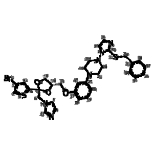 Brc1csc([C@]2(Cn3ccnc3)OC[C@H](COc3cccc(N4CCN(n5ccnc5SCc5ccccc5)CC4)c3)O2)c1